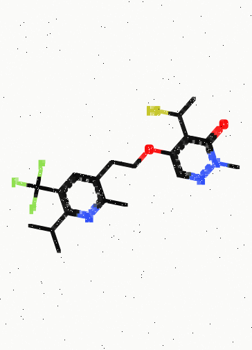 Cc1nc(C(C)C)c(C(F)(F)F)cc1CCOc1cnn(C)c(=O)c1C(C)S